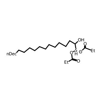 CCCCCCCCCCCCCCCCCCCCCC(O)[SH](OC(=O)CC)OC(=O)CC